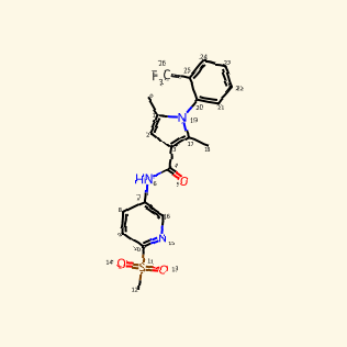 Cc1cc(C(=O)Nc2ccc(S(C)(=O)=O)nc2)c(C)n1-c1ccccc1C(F)(F)F